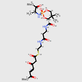 COC(=O)/C=C/C(=O)CC(=O)SCCNC(=O)CCNC(=O)[C@@H]1OP(=O)(N[C@@H](C)C(=O)OC)OCC1(C)C